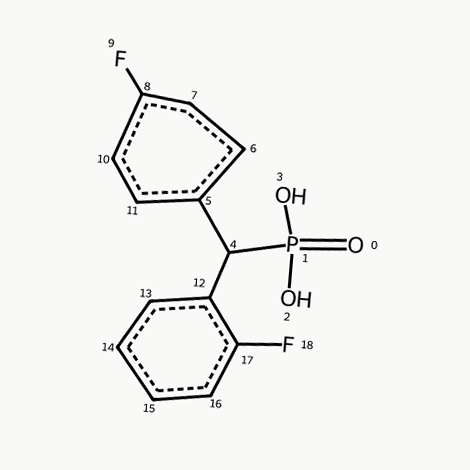 O=P(O)(O)C(c1ccc(F)cc1)c1ccccc1F